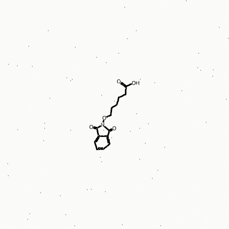 O=C(O)CCCCCON1C(=O)c2ccccc2C1=O